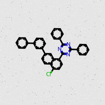 Clc1ccc(-c2nc(-c3ccccc3)nc(-c3ccccc3)n2)c2cc(-c3cccc(-c4ccccc4)c3)ccc12